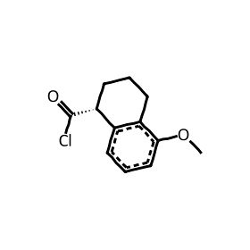 COc1cccc2c1CCC[C@H]2C(=O)Cl